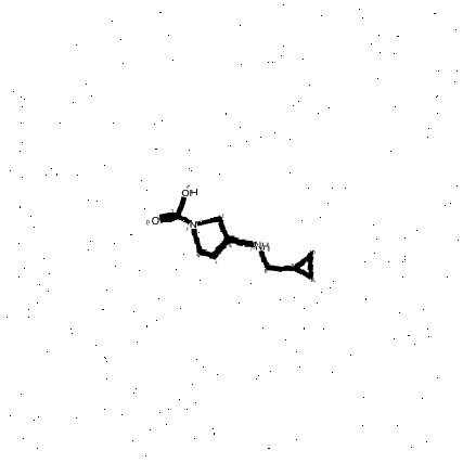 O=C(O)N1CCC(NCC2CC2)C1